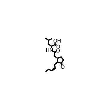 CC/C=C\CC1C(=O)CCC1CC(=O)NC(CC(C)C)C(=O)O